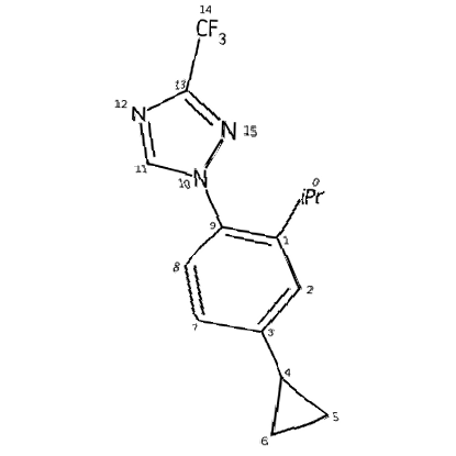 CC(C)c1cc(C2CC2)ccc1-n1cnc(C(F)(F)F)n1